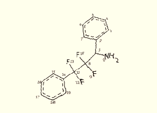 NC(c1ccccc1)C(F)(F)C(F)(F)c1ccccc1